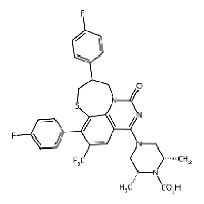 C[C@@H]1CN(c2nc(=O)n3c4c(c(-c5ccc(F)cc5)c(C(F)(F)F)cc24)SCC(c2ccc(F)cc2)C3)C[C@H](C)N1C(=O)O